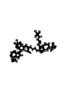 CC(C)N(CCCCc1nc2cc(C(F)(F)F)ccc2n1COCC[Si](C)(C)C)CC1CC(n2ccc3c(N)ncnc32)C2OC(C)(C)OC12